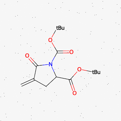 C=C1CC(C(=O)OC(C)(C)C)N(C(=O)OC(C)(C)C)C1=O